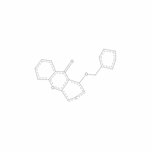 O=c1c2ccccc2oc2cccc(OCc3ccccc3)c12